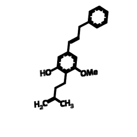 C=C(C)CCc1c(O)cc(C=CCc2ccccc2)cc1OC